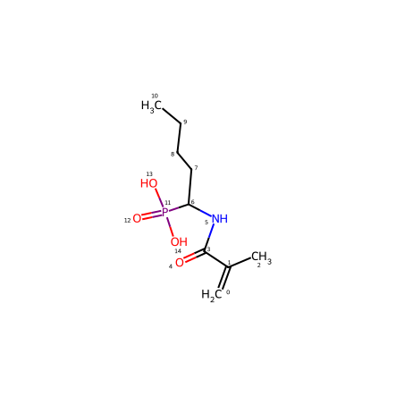 C=C(C)C(=O)NC(CCCC)P(=O)(O)O